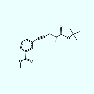 COC(=O)c1cccc(C#CCNC(=O)OC(C)(C)C)c1